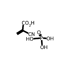 C=C(C#N)C(=O)O.O=P(O)(O)O